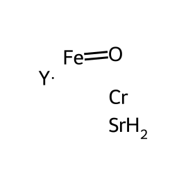 [Cr].[O]=[Fe].[SrH2].[Y]